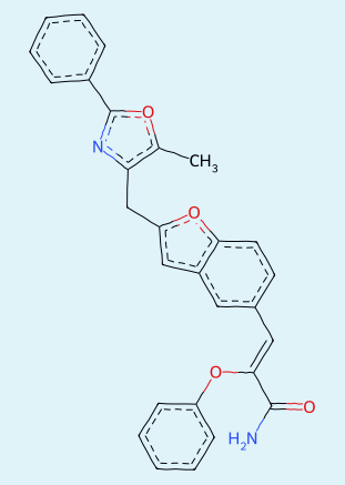 Cc1oc(-c2ccccc2)nc1Cc1cc2cc(C=C(Oc3ccccc3)C(N)=O)ccc2o1